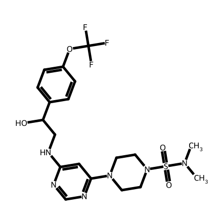 CN(C)S(=O)(=O)N1CCN(c2cc(NCC(O)c3ccc(OC(F)(F)F)cc3)ncn2)CC1